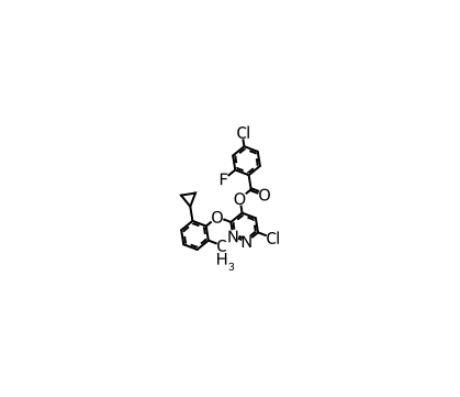 Cc1cccc(C2CC2)c1Oc1nnc(Cl)cc1OC(=O)c1ccc(Cl)cc1F